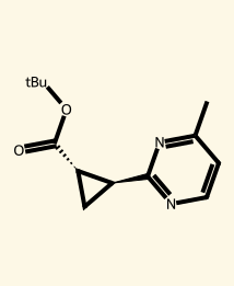 Cc1ccnc([C@H]2C[C@@H]2C(=O)OC(C)(C)C)n1